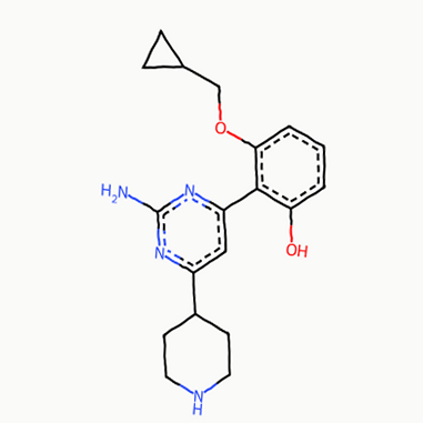 Nc1nc(-c2c(O)cccc2OCC2CC2)cc(C2CCNCC2)n1